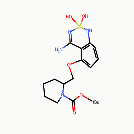 CC(C)(C)OC(=O)N1CCCCC1COc1cccc2c1C(N)=NS(O)(O)N2